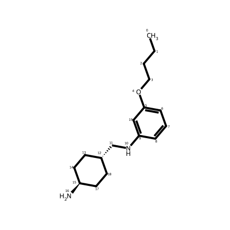 CCCCOc1cccc(NC[C@H]2CC[C@H](N)CC2)c1